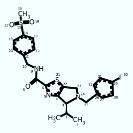 CC(C)[C@H]1c2nc(C(=O)NCc3ccc(S(C)(=O)=O)cc3)sc2CN1Cc1ccc(F)cc1